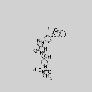 CN(C)C(=O)N1CCC(O)(Cn2cnc3c(cnn3-c3ccc(OCC4CCCCN4C)cc3)c2=O)CC1